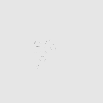 Cc1cc(C(C)Nc2ccc(C#N)cc2C(=O)O)c2oc(-c3cc#ccc3)c(C)c(=O)c2c1